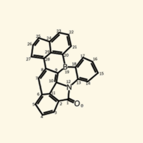 O=C1c2cccc3cc4c5c(c23)N1c1ccccc1B5c1cccc2cccc-4c12